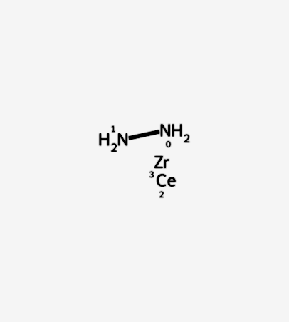 NN.[Ce].[Zr]